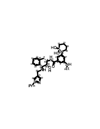 CCNc1cc(C(=O)N[C@@H](Cc2ccccc2)[C@H](O)CNCc2cnn(C(C)C)c2)cc(N2CCCCS2(O)O)c1